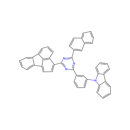 c1cc(-c2nc(-c3ccc4ccccc4c3)nc(-c3ccc4c5c(cccc35)-c3ccccc3-4)n2)cc(-n2c3ccccc3c3ccccc32)c1